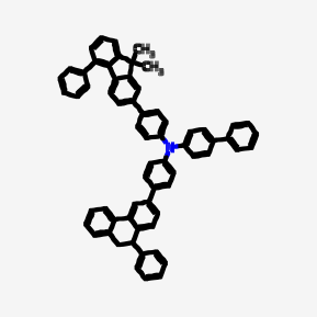 CC1(C)c2cc(-c3ccc(N(c4ccc(-c5ccccc5)cc4)c4ccc(-c5ccc6c(c5)-c5ccccc5CC6c5ccccc5)cc4)cc3)ccc2-c2c(-c3ccccc3)cccc21